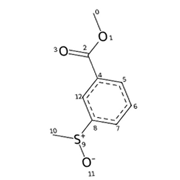 COC(=O)c1cccc([S+](C)[O-])c1